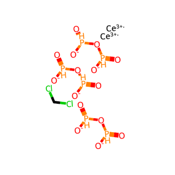 ClCCl.O=[PH]([O-])O[PH](=O)[O-].O=[PH]([O-])O[PH](=O)[O-].O=[PH]([O-])O[PH](=O)[O-].[Ce+3].[Ce+3]